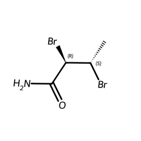 C[C@H](Br)[C@H](Br)C(N)=O